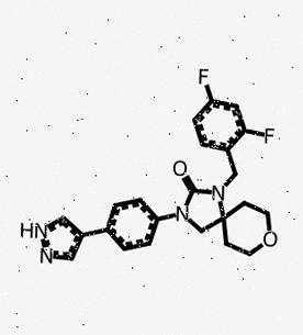 O=C1N(c2ccc(-c3cn[nH]c3)cc2)CC2(CCOCC2)N1Cc1ccc(F)cc1F